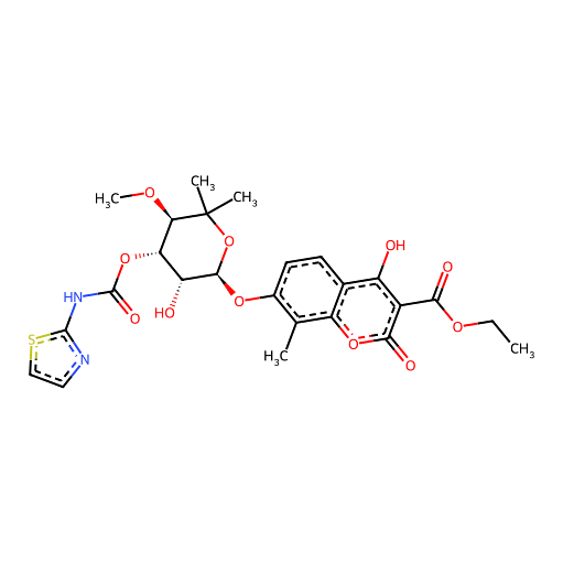 CCOC(=O)c1c(O)c2ccc(O[C@@H]3OC(C)(C)[C@H](OC)[C@@H](OC(=O)Nc4nccs4)[C@H]3O)c(C)c2oc1=O